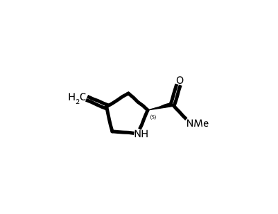 C=C1CN[C@H](C(=O)NC)C1